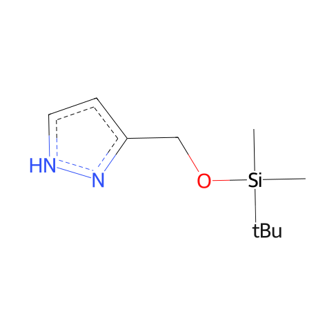 CC(C)(C)[Si](C)(C)OCc1cc[nH]n1